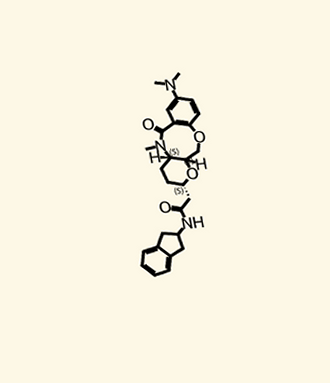 CN(C)c1ccc2c(c1)C(=O)N(C)[C@H]1CC[C@@H](CC(=O)NC3Cc4ccccc4C3)O[C@H]1CO2